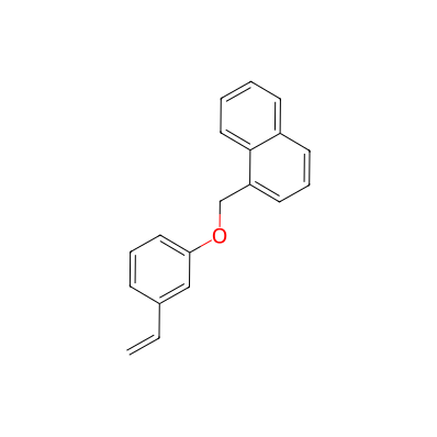 C=Cc1cccc(OCc2cccc3ccccc23)c1